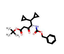 CC(C)(C)OC(=O)CC(=O)[C@@H](NC(=O)OCc1ccccc1)C(C1CC1)C1CC1